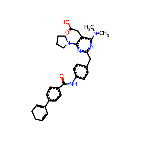 CN(C)c1nc(Cc2ccc(NC(=O)c3ccc(C4=CCCC=C4)cc3)cc2)nc(N2CCCC2)c1CC(=O)O